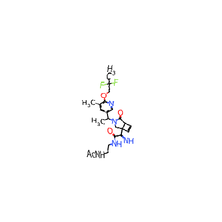 CC(=O)NCCNC(=O)C(=N)C12C=CC1C(=O)N(C(C)c1cnc(OCC(C)(F)F)c(C)c1)C2